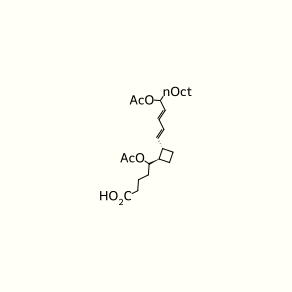 CCCCCCCCC(/C=C/C=C/[C@@H]1CC[C@H]1C(CCCC(=O)O)OC(C)=O)OC(C)=O